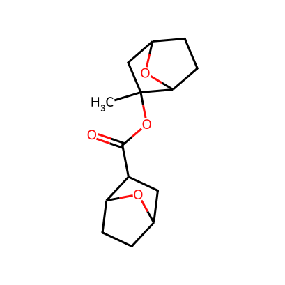 CC1(OC(=O)C2CC3CCC2O3)CC2CCC1O2